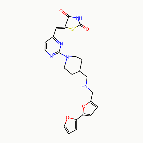 O=C1NC(=O)C(=Cc2ccnc(N3CCC(CNCc4ccc(-c5ccco5)o4)CC3)n2)S1